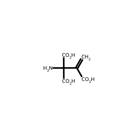 C=C(C(=O)O)C(N)(C(=O)O)C(=O)O